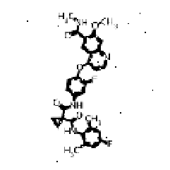 CNC(=O)c1cc2c(Oc3ccc(NC(=O)C4(C(=O)Nc5c(C)cc(F)cc5C)CC4)cc3F)ccnc2cc1OC